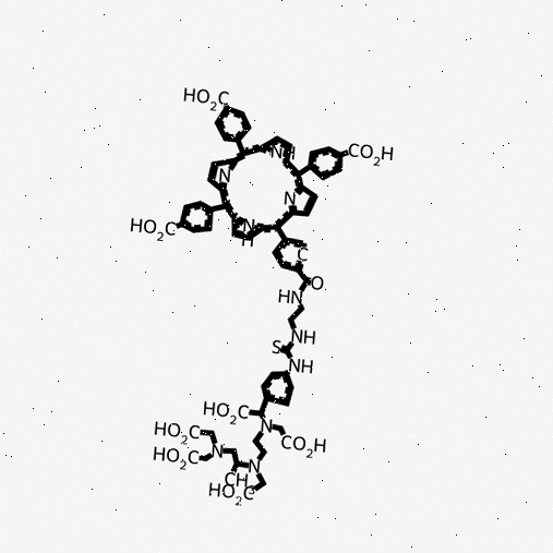 CC(CN(CC(=O)O)CC(=O)O)N(CCN(CC(=O)O)C(C(=O)O)c1ccc(NC(=S)NCCNC(=O)c2ccc(-c3c4nc(c(-c5ccc(C(=O)O)cc5)c5ccc([nH]5)c(-c5ccc(C(=O)O)cc5)c5nc(c(-c6ccc(C(=O)O)cc6)c6ccc3[nH]6)C=C5)C=C4)cc2)cc1)CC(=O)O